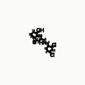 O=c1cc(CNCc2ccc(Cl)cc2Cl)nc2c(O)cccn12